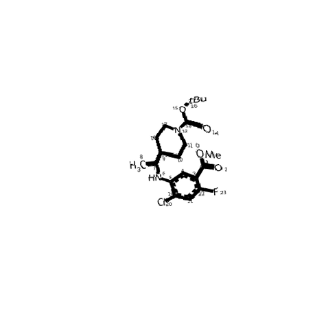 COC(=O)c1cc(NC(C)C2CCN(C(=O)OC(C)(C)C)CC2)c(Cl)cc1F